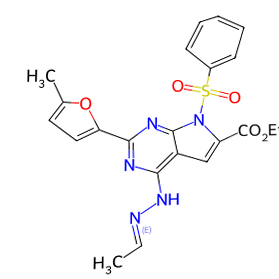 C/C=N/Nc1nc(-c2ccc(C)o2)nc2c1cc(C(=O)OCC)n2S(=O)(=O)c1ccccc1